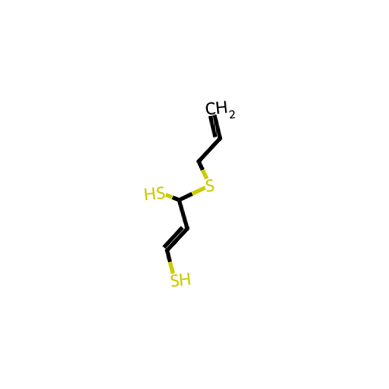 C=CCSC(S)C=CS